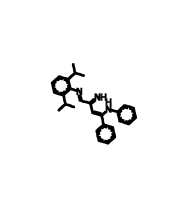 CC(C)c1cccc(C(C)C)c1/N=C/C(=N)/C=C(\Nc1ccccc1)c1ccccc1